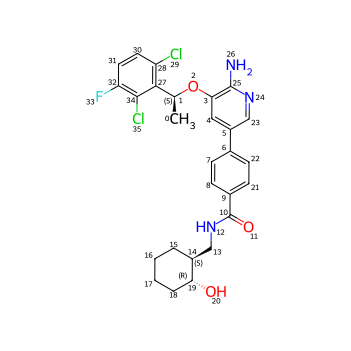 C[C@H](Oc1cc(-c2ccc(C(=O)NC[C@@H]3CCCC[C@H]3O)cc2)cnc1N)c1c(Cl)ccc(F)c1Cl